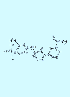 Nc1cc(Nc2nccc(-c3cccc(C(=O)O)c3)n2)ccc1C(F)(F)F